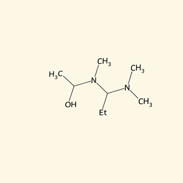 CCC(N(C)C)N(C)C(C)O